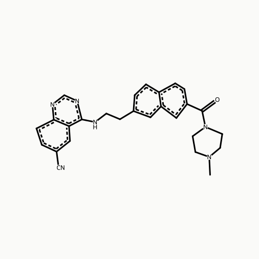 CN1CCN(C(=O)c2ccc3ccc(CCNc4ncnc5ccc(C#N)cc45)cc3c2)CC1